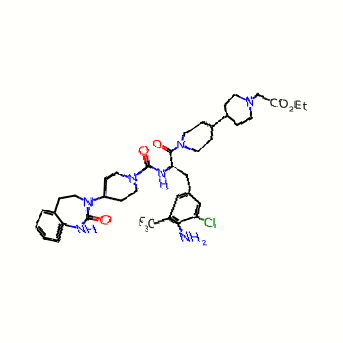 CCOC(=O)CN1CCC(C2CCN(C(=O)[C@@H](Cc3cc(Cl)c(N)c(C(F)(F)F)c3)NC(=O)N3CCC(N4CCc5ccccc5NC4=O)CC3)CC2)CC1